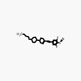 CCCCCC1CCC(C2CC=C(C#Cc3cc(F)c(SC#N)c(F)c3)CC2)CC1